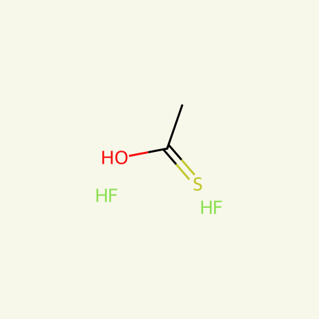 CC(O)=S.F.F